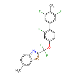 Cc1ccc2nc(C(F)(F)Oc3ccc(-c4cc(F)c(C(F)(F)F)c(F)c4)c(F)c3)sc2c1